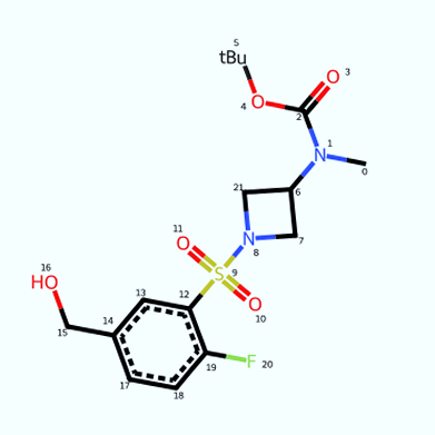 CN(C(=O)OC(C)(C)C)C1CN(S(=O)(=O)c2cc(CO)ccc2F)C1